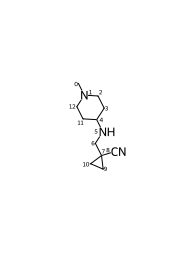 CN1CCC(NCC2(C#N)CC2)CC1